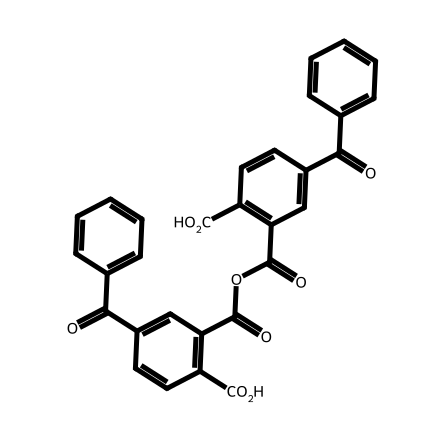 O=C(c1ccccc1)c1ccc(C(=O)O)c(C(=O)OC(=O)c2cc(C(=O)c3ccccc3)ccc2C(=O)O)c1